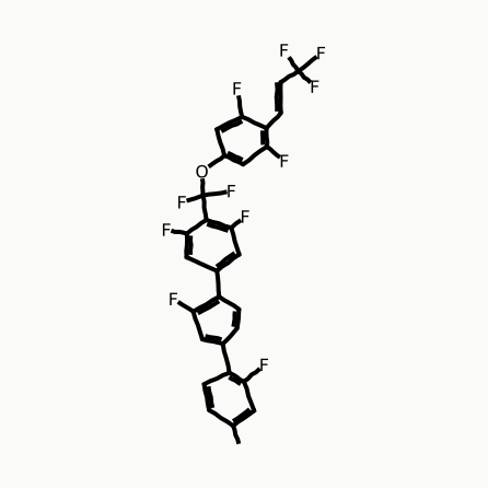 Cc1ccc(-c2ccc(-c3cc(F)c(C(F)(F)Oc4cc(F)c(/C=C/C(F)(F)F)c(F)c4)c(F)c3)c(F)c2)c(F)c1